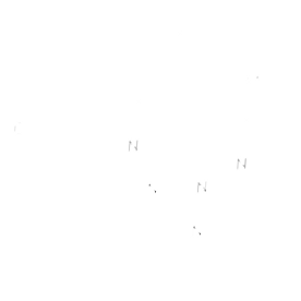 O=CC1CCCN(c2nc(CN3CCN(C(c4ccc(Cl)cc4)c4ccc(Cl)cc4)CC3)nc3ccccc23)C1